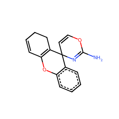 NC1=NC2(C=CO1)C1=C(C=CCC1)Oc1ccccc12